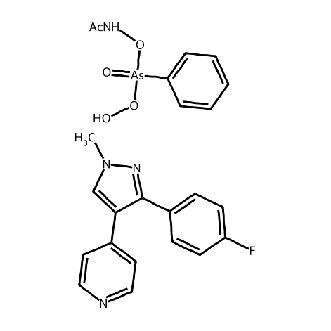 CC(=O)NO[As](=O)(OO)c1ccccc1.Cn1cc(-c2ccncc2)c(-c2ccc(F)cc2)n1